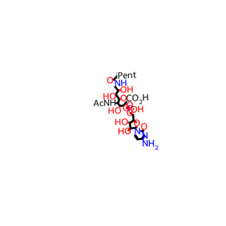 CCCC(C)C(=O)NCC(O)C(O)C1OC(OP(=O)(O)OCC2OC(n3ccc(N)nc3=O)C(O)C2O)(C(=O)O)CC(O)C1NC(C)=O